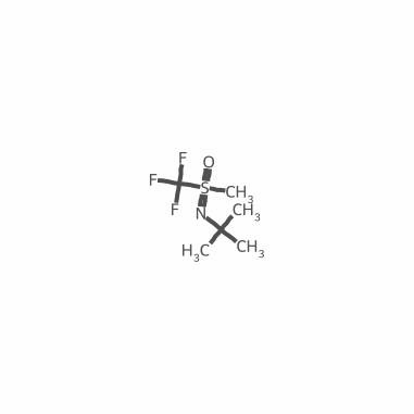 CC(C)(C)N=S(C)(=O)C(F)(F)F